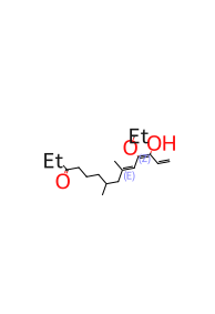 C=C/C(O)=C(\C=C(/C)CC(C)CCCC(=O)CC)OCC